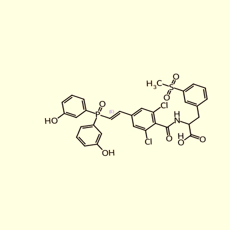 CS(=O)(=O)c1cccc(CC(NC(=O)c2c(Cl)cc(/C=C/P(=O)(c3cccc(O)c3)c3cccc(O)c3)cc2Cl)C(=O)O)c1